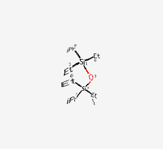 CC[Si](CC)(O[Si](CC)(CC)C(C)C)C(C)C